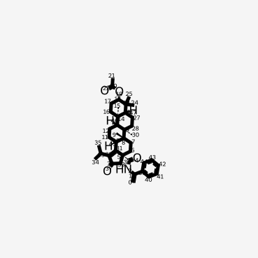 C=C(NC(=O)[C@@]12CC[C@]3(C)[C@H](CC[C@@H]4[C@@]5(C)CC[C@H](OC(C)=O)C(C)(C)[C@@H]5CC[C@]43C)C1=C(C(C)C)C(=O)C2)c1ccccc1